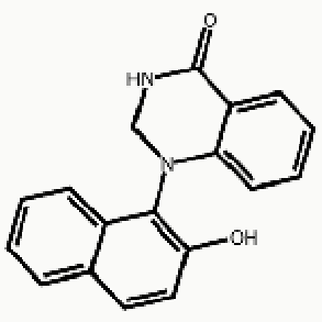 O=C1NCN(c2c(O)ccc3ccccc23)c2ccccc21